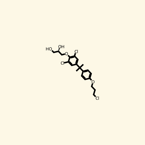 CC(C)(c1ccc(OCCCCl)cc1)c1cc(Cl)c(OC[C@H](O)CO)c(Cl)c1